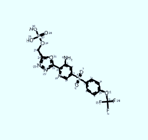 Nc1cc(S(=O)(=O)c2ccc(OC(F)(F)F)cc2)cnc1-c1nnc(COP(=O)(O)O)o1